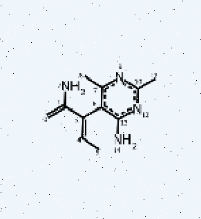 C=C(N)/C(=C/C)c1c(C)nc(C)nc1N